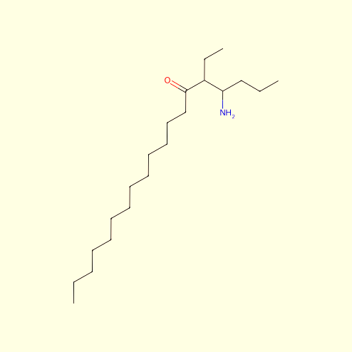 CCCCCCCCCCCCCC(=O)C(CC)C(N)CCC